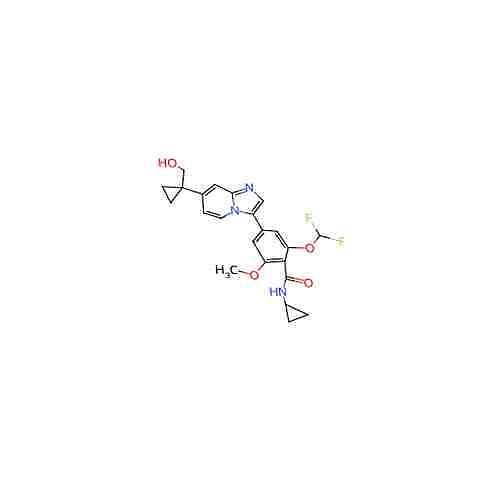 COc1cc(-c2cnc3cc(C4(CO)CC4)ccn23)cc(OC(F)F)c1C(=O)NC1CC1